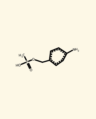 CP(=O)(O)OCc1ccc(N)cc1